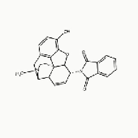 CN1CC[C@]23c4c5ccc(O)c4OC2[C@H](N2C(=O)c4ccccc4C2=O)C=CC3C1C5